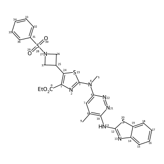 CCOC(=O)c1nc(N(C)c2cc(C)c(Nc3nc4ccccc4s3)nn2)sc1C1CN(S(=O)(=O)c2ccccc2)C1